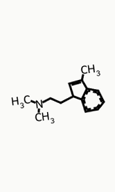 CC1=CC(CCN(C)C)c2ccccc21